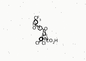 O=C(O)NC[C@H]1CN(C(=O)C2CCN(C(=O)c3ccc(C(F)(F)F)cn3)CC2)C[C@H]1c1ccc(Cl)c(Cl)c1